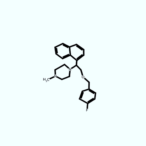 CN1CCN(C(COCc2ccc(F)cc2)c2cccc3ccccc23)CC1